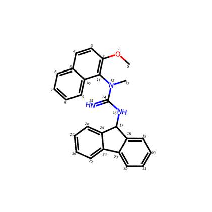 COc1ccc2ccccc2c1N(C)C(=N)NC1c2ccccc2-c2ccccc21